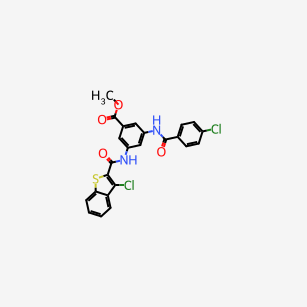 COC(=O)c1cc(NC(=O)c2ccc(Cl)cc2)cc(NC(=O)c2sc3ccccc3c2Cl)c1